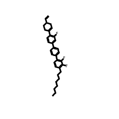 C=CC1CC=C(c2ccc(-c3ccc(-c4ccc(CCCCCCCC)c(F)c4F)cc3)cc2F)CC1